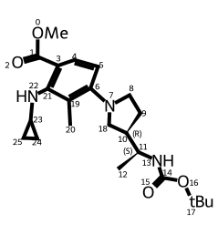 COC(=O)c1ccc(N2CC[C@@H]([C@H](C)NC(=O)OC(C)(C)C)C2)c(C)c1NC1CC1